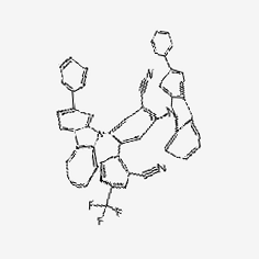 N#Cc1cc(C(F)(F)F)ccc1-c1cc(-n2c3ccccc3c3ccc(-c4ccccc4)cc32)c(C#N)cc1-n1c2ccccc2c2ccc(-c3ccccc3)cc21